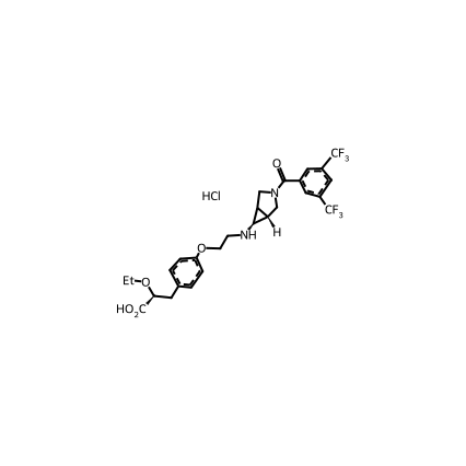 CCO[C@@H](Cc1ccc(OCCN[C@H]2C3CN(C(=O)c4cc(C(F)(F)F)cc(C(F)(F)F)c4)C[C@@H]32)cc1)C(=O)O.Cl